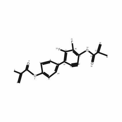 C=C(C)C(=O)Oc1ccc(-c2c#cc(OC(=O)C(=C)C)c(F)c2F)cc1